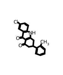 Cc1ccccc1C1CC(=O)c2c([nH]c3ccc(Cl)cc3c2=O)C1